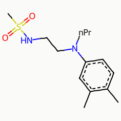 CCCN(CCNS(C)(=O)=O)c1ccc(C)c(C)c1